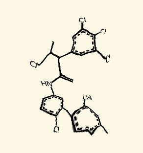 C=C(Nc1ccc(Cl)c(-c2ccc(C)cc2C#N)c1)C(c1cc(Cl)c(Cl)c(Cl)c1)C(C)Cl